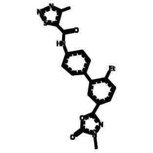 CCc1ccc(-c2nn(C)c(=O)o2)cc1-c1ccc(NC(=O)c2snnc2C)cc1